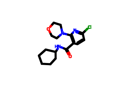 O=C(NC1CCCCC1)c1ccc(Cl)nc1N1CCOCC1